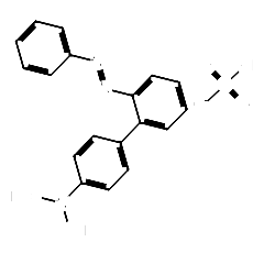 CN(C)c1ccc(-c2ccccc2N=Nc2ccccc2)cc1.O=S(=O)(Cl)Cl